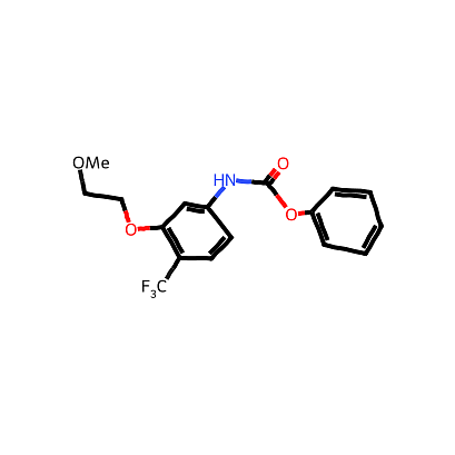 COCCOc1cc(NC(=O)Oc2ccccc2)ccc1C(F)(F)F